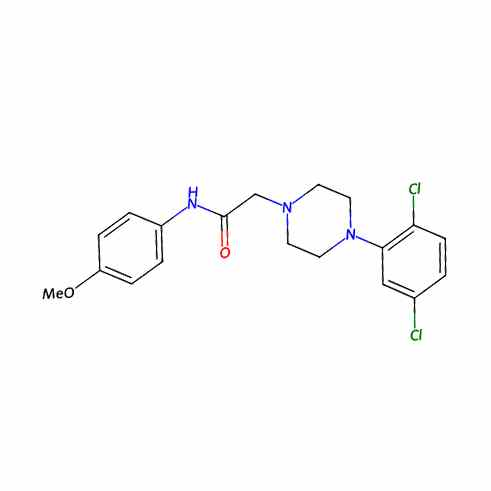 COc1ccc(NC(=O)CN2CCN(c3cc(Cl)ccc3Cl)CC2)cc1